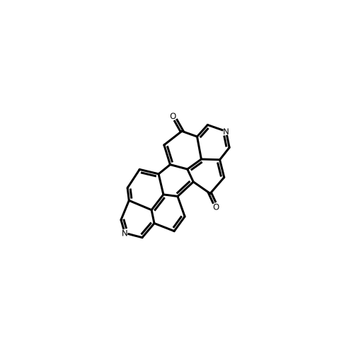 O=c1cc2c3c(c(=O)cc4cncc1c4=3)c1ccc3cncc4ccc2c1c43